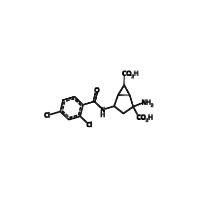 NC1(C(=O)O)CC(NC(=O)c2ccc(Cl)cc2Cl)C2C(C(=O)O)C21